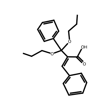 CCCOC(OCCC)(C(=Cc1ccccc1)C(=O)O)c1ccccc1